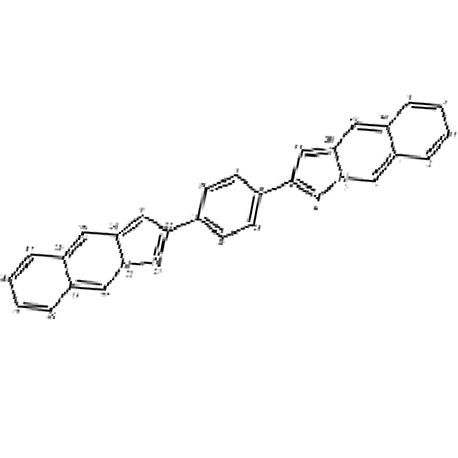 c1ccc2cn3nc(-c4ccc(-c5cc6cc7ccccc7cn6n5)cc4)cc3cc2c1